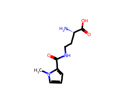 Cn1cccc1C(=O)NCC[C@H](N)C(=O)O